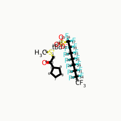 C[S+](CC(=O)C1CCCC1)C(C)(C)C.O=S(=O)([O-])C(F)(F)C(F)(F)C(F)(F)C(F)(F)C(F)(F)C(F)(F)C(F)(F)C(F)(F)F